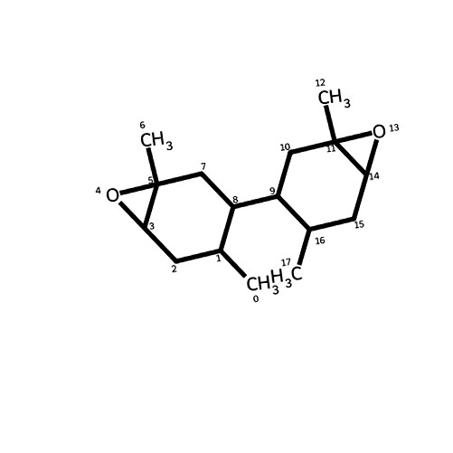 CC1CC2OC2(C)CC1C1CC2(C)OC2CC1C